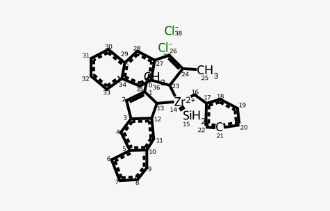 CC1=Cc2cc3ccccc3cc2[CH]1[Zr+2](=[SiH2])([CH2]c1ccccc1)[CH]1C(C)=Cc2cc3ccccc3cc21.[Cl-].[Cl-]